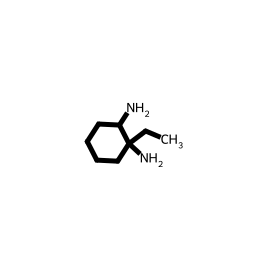 CCC1(N)CCCCC1N